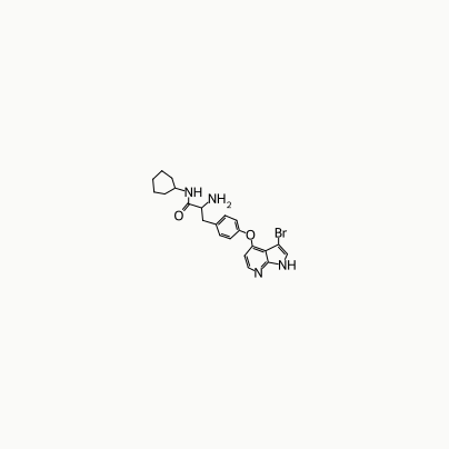 NC(Cc1ccc(Oc2ccnc3[nH]cc(Br)c23)cc1)C(=O)NC1CCCCC1